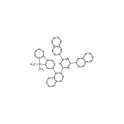 CC1(C)c2ccccc2-c2ccc(-c3c(-c4nc(-c5ccc6ccccc6c5)nc(-c5ccc6ccccc6c5)n4)ccc4ccccc34)cc21